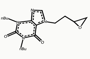 CCCCn1c(=O)c2c(ncn2CCC2CO2)n(CCCC)c1=O